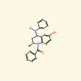 CC(=O)N(c1ccccc1)[C@@H]1C[C@H](C)N(C(=O)c2ccccc2)c2ccc(O)cc21